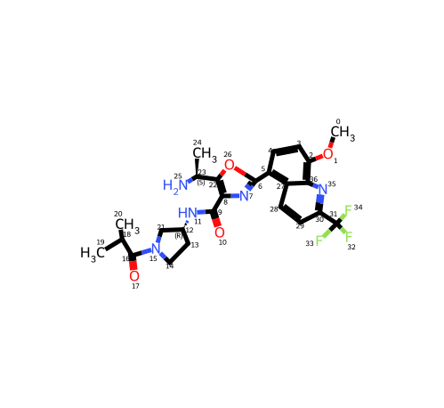 COc1ccc(-c2nc(C(=O)N[C@@H]3CCN(C(=O)C(C)C)C3)c([C@H](C)N)o2)c2ccc(C(F)(F)F)nc12